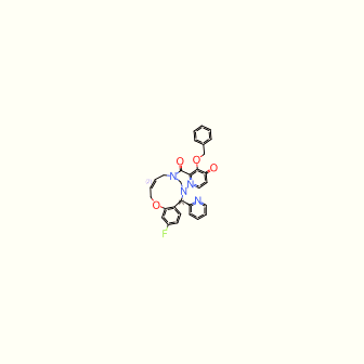 O=C1c2c(OCc3ccccc3)c(=O)ccn2N2CN1C/C=C\COc1cc(F)ccc1[C@@H]2c1ccccn1